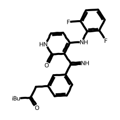 CCC(C)C(=O)Cc1cccc(C(=N)c2c(Nc3c(F)cccc3F)cc[nH]c2=O)c1